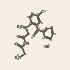 Br.CN(CC(=O)NC(=O)CN)c1ccc(Cl)cc1C(=O)c1ccccc1